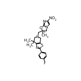 CC1(C)CN(C[C@@]2(C)Cn3cc([N+](=O)[O-])nc3O2)Cc2sc(-c3ccc(F)cc3)nc21